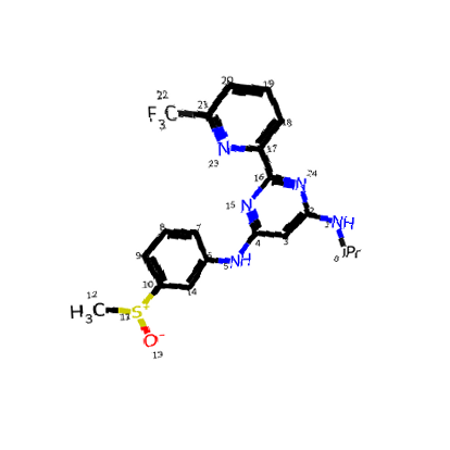 CC(C)Nc1cc(Nc2cccc([S+](C)[O-])c2)nc(-c2cccc(C(F)(F)F)n2)n1